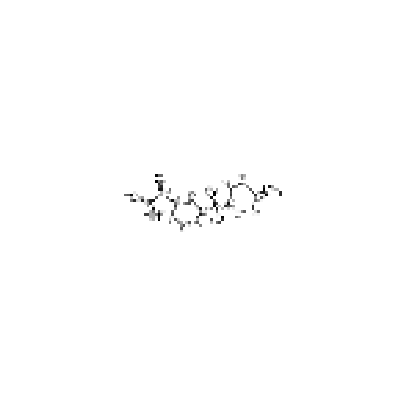 O=C1Nc2ccc(S(=O)(=O)N3CCC(O)CC3)cc2C1=O